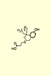 CCC1(CC)[C]C(SCCC(=O)O)Cc2ccc(O)cc21